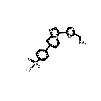 CS(=O)(=O)c1ccc(-c2ccn3c(-c4csc(CN)n4)cnc3c2)cc1